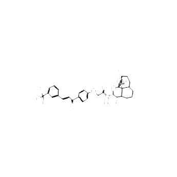 C[C@@H]1CCC2[C@@H](C)[C@@H](NC(=O)COc3ccc(C(=O)/C=C/c4cccc(C(F)(F)F)c4)cc3)O[C@@H]3O[C@@]4(C)CCC1[C@@]23OO4